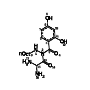 CCCCCCCCNN(C(=O)c1ccc(O)cc1O)C(=O)C(N)N